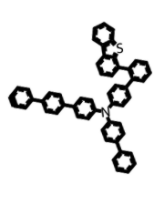 c1ccc(-c2ccc(-c3ccc(N(c4ccc(-c5ccccc5)cc4)c4ccc(-c5ccccc5-c5cccc6c5sc5ccccc56)cc4)cc3)cc2)cc#1